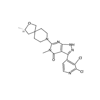 C[C@H]1CC2(CCN(c3nc4[nH]nc(-c5ccnc(Cl)c5Cl)c4c(=O)n3C)CC2)CO1